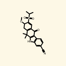 COC1CC2=C(C=C1S(=O)(=O)C(C)C)C(=O)c1c([nH]c3cc(C#N)ccc13)C2(C)C